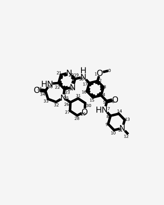 COc1cc(C(=O)NC2CCN(C)CC2)ccc1Nc1ncc2c(n1)N(C1CCOCC1)CCC(=O)N2